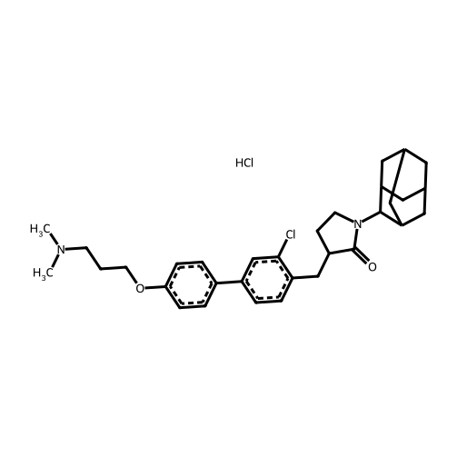 CN(C)CCCOc1ccc(-c2ccc(CC3CCN(C4C5CC6CC(C5)CC4C6)C3=O)c(Cl)c2)cc1.Cl